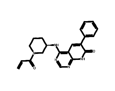 C=CC(=O)N1CCC[C@@H](Nc2ncnc3[nH]c(=O)c(-c4ccccc4)cc23)C1